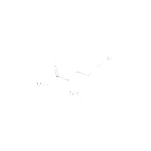 C#CCC[C@H](N)C(=O)OC